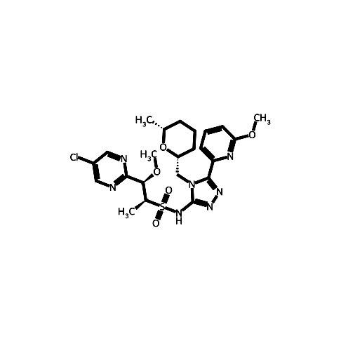 COc1cccc(-c2nnc(NS(=O)(=O)[C@@H](C)[C@H](OC)c3ncc(Cl)cn3)n2C[C@H]2CCC[C@@H](C)O2)n1